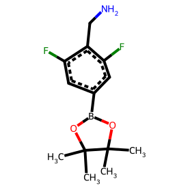 CC1(C)OB(c2cc(F)c(CN)c(F)c2)OC1(C)C